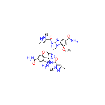 [CH2]CCOc1cc(C(N)=O)cc2nc(NC(=O)c3cc(C)nn3CC)n(CCCC3COc4cc(C(N)=O)cc5c4C3[C@@](N)(NC(=O)c3cc(C)nn3CC)C5N)c12